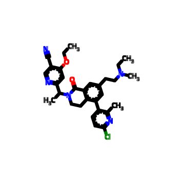 CCOc1cc(C(C)N2CCc3c(cc(CCN(C)CC)cc3-c3ccc(Cl)nc3C)C2=O)ncc1C#N